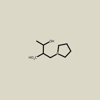 CC(O)C(CN1CCCC1)C(=O)O